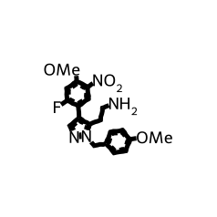 COc1ccc(Cn2ncc(-c3cc([N+](=O)[O-])c(OC)cc3F)c2CCN)cc1